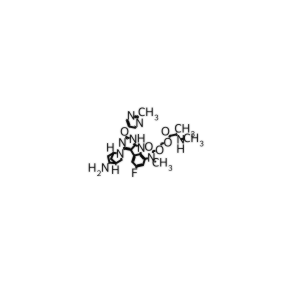 CN[C@@H](C)C(=O)OCOC(=O)N(C)c1cc(F)cc2c1[nH]c1nc(Oc3cnc(C)nc3)nc(N3C[C@H]4C[C@@H]3C[C@H]4N)c12